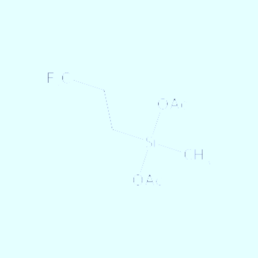 CC(=O)O[Si](C)(CCC(F)(F)F)OC(C)=O